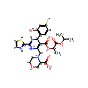 CC(C)OC(=O)C(C)OC(=O)C1=C(CN2CCOCC2C(=O)O)NC(c2nccs2)=NC1c1ccc(F)cc1Br